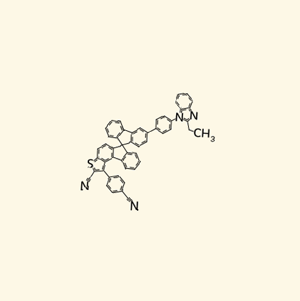 CCc1nc2ccccc2n1-c1ccc(-c2ccc3c(c2)-c2ccccc2C32c3ccccc3-c3c2ccc2sc(C#N)c(-c4ccc(C#N)cc4)c32)cc1